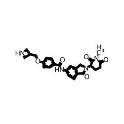 CN1C(=O)CCC(N2Cc3cc(NC(=O)c4ccc(OCC5CNC5)cc4)ccc3C2=O)C1=O